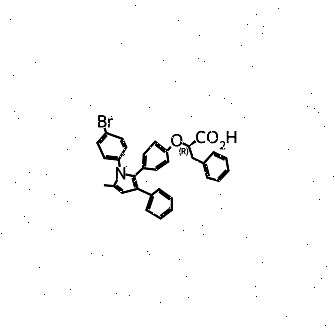 Cc1cc(-c2ccccc2)c(-c2ccc(O[C@H](Cc3ccccc3)C(=O)O)cc2)n1-c1ccc(Br)cc1